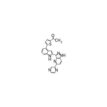 CC(=O)c1ccc(-c2cccc3[nH]c(-c4n[nH]c5ccc(-c6cnccn6)nc45)cc23)s1